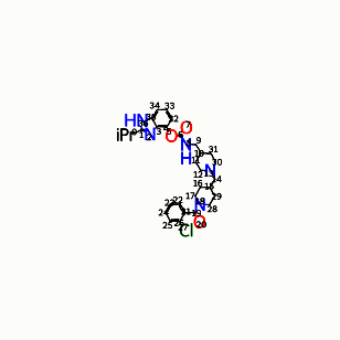 CC(C)c1nc2c(OC(=O)NCC3CCN(CC4CCN(C(=O)c5ccccc5Cl)CC4)CC3)cccc2[nH]1